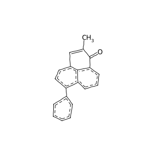 CC1=Cc2ccc(-c3ccccc3)c3cccc(c23)C1=O